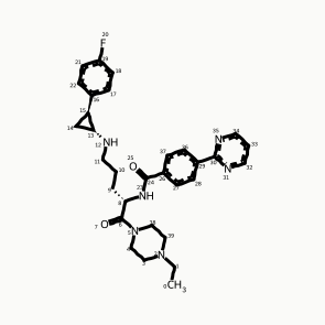 CCN1CCN(C(=O)[C@H](CCCN[C@@H]2C[C@H]2c2ccc(F)cc2)NC(=O)c2ccc(-c3ncccn3)cc2)CC1